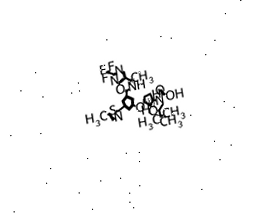 Cc1cnc(-c2cc(O[C@H]3CC[C@H]4[C@H]3OC(C(C)(C)C)CN4C(=O)O)cc(C(=O)N[C@H](C)c3cnc(C(F)(F)F)nc3)c2)s1